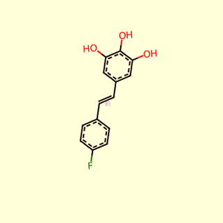 Oc1cc(/C=C/c2ccc(F)cc2)cc(O)c1O